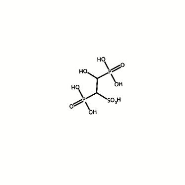 O=P(O)(O)C(O)C(P(=O)(O)O)S(=O)(=O)O